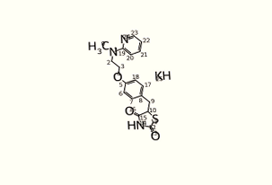 CN(CCOc1ccc(CC2SC(=O)NC2=O)cc1)c1ccccn1.[KH]